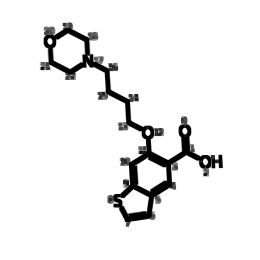 O=C(O)c1cc2ccsc2cc1OCCCCN1CCOCC1